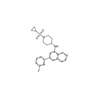 O=S(=O)(C1CC1)N1CCC(Nc2cc(-c3cccc(F)n3)cc3ccncc23)CC1